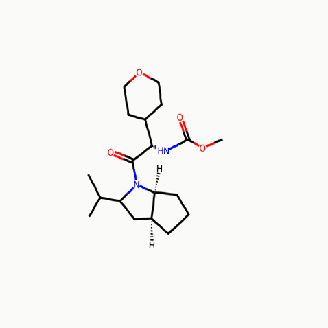 COC(=O)N[C@H](C(=O)N1C(C(C)C)C[C@@H]2CCC[C@@H]21)C1CCOCC1